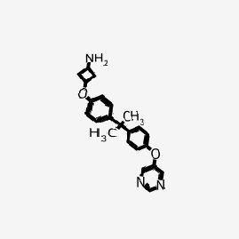 CC(C)(c1ccc(Oc2cncnc2)cc1)c1ccc(OC2CC(N)C2)cc1